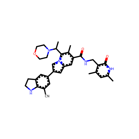 Cc1cc(C)c(CNC(=O)c2cc3cc(-c4cc(C#N)c5c(c4)CCN5)cn3c(C(C)N3CCOCC3)c2C)c(=O)[nH]1